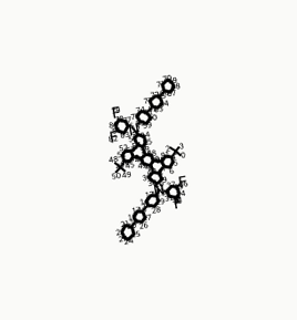 CC(C)(C)c1ccc2c3cc(N(c4ccc(-c5ccc(-c6ccccc6)cc5)cc4)c4cc(F)cc(F)c4)ccc3c3cc4c5cc(C(C)(C)C)ccc5c5cc(N(c6ccc(-c7ccc(-c8ccccc8)cc7)cc6)c6cc(F)cc(F)c6)ccc5c4cc3c2c1